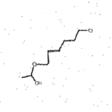 C[C](O)OCCCCCCCl